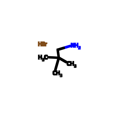 Br.CC(C)(C)CN